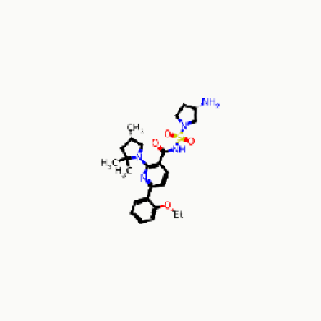 CCOc1ccccc1-c1ccc(C(=O)NS(=O)(=O)N2CC[C@H](N)C2)c(N2C[C@@H](C)CC2(C)C)n1